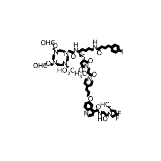 C#C[C@H]1CC(F)(F)CN1C(=O)CNC(=O)c1ccnc2ccc(OCCCC3CCN(C(=O)[C@H](C)CN4C(=O)CC(SC[C@H](CCCCNC(=O)CCCc5ccc(I)cc5)NC(=O)CN5CCN(COC=O)CCN(COC=O)CCN(CC(=O)O)CC5)C4=O)CC3)cc12